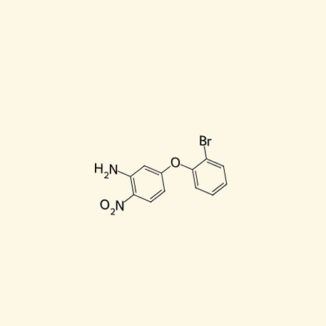 Nc1cc(Oc2ccccc2Br)ccc1[N+](=O)[O-]